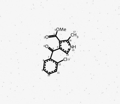 COC(=O)c1c(C(=O)c2ccccc2Cl)c[nH]c1C